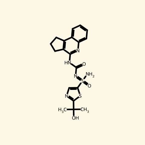 CC(C)(O)c1ncc(S(N)(=O)=NC(=O)Nc2nc3ccccc3c3c2CCC3)s1